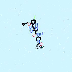 COCC(=O)N1CCC(NC(=O)c2c[nH]c3c(-c4ccc(F)cc4OCC4CC4)ncnc23)CC1